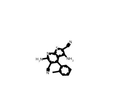 Cc1ccccc1-c1c(C#N)c(N)nc2sc(C#N)c(N)c12